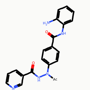 CC(=O)N(NC(=O)c1cccnc1)c1ccc(C(=O)Nc2ccccc2N)cc1